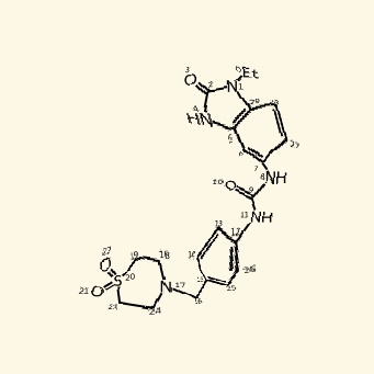 CCn1c(=O)[nH]c2cc(NC(=O)Nc3ccc(CN4CCS(=O)(=O)CC4)cc3)ccc21